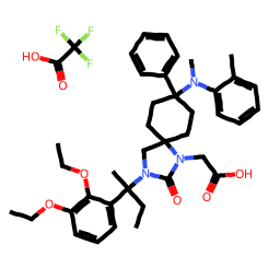 CCOc1cccc(C(C)(CC)N2CC3(CCC(c4ccccc4)(N(C)c4ccccc4C)CC3)N(CC(=O)O)C2=O)c1OCC.O=C(O)C(F)(F)F